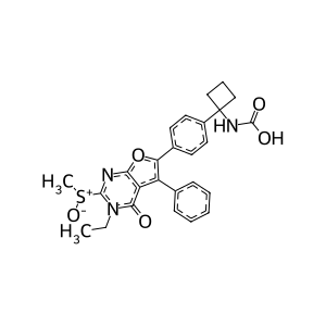 CCn1c([S+](C)[O-])nc2oc(-c3ccc(C4(NC(=O)O)CCC4)cc3)c(-c3ccccc3)c2c1=O